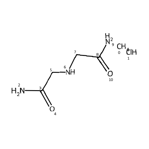 C.Cl.NC(=O)CNCC(N)=O